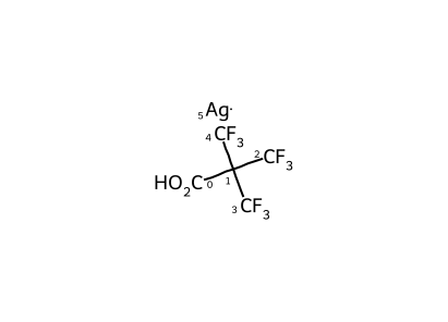 O=C(O)C(C(F)(F)F)(C(F)(F)F)C(F)(F)F.[Ag]